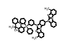 Cc1cccc2c1nc1n(-c3ccc4c(c3)n3c5cccc(C)c5nc3n4-c3cccc([Si](c4ccccc4)(c4ccccc4)c4cccc5c4Oc4ccccc4C5(C)C)c3)c3ccccc3n21